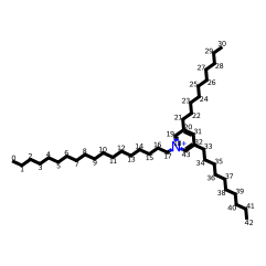 CCCCCCCCCCCCCCCCCC[n+]1cc(CCCCCCCCCC)cc(CCCCCCCCCC)c1